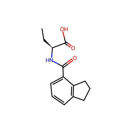 CC[C@H](NC(=O)c1cccc2c1CCC2)C(=O)O